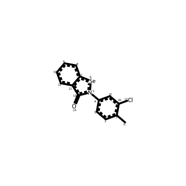 Cc1ccc(-n2[se]c3ccccc3c2=O)cc1Cl